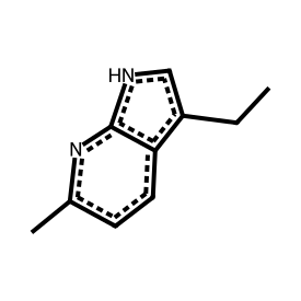 CCc1c[nH]c2nc(C)ccc12